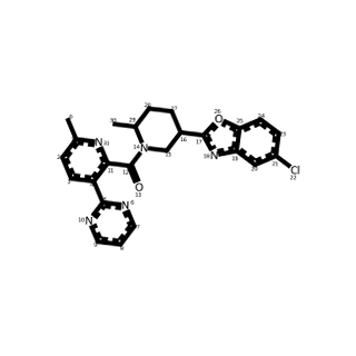 Cc1ccc(-c2ncccn2)c(C(=O)N2CC(c3nc4cc(Cl)ccc4o3)CCC2C)n1